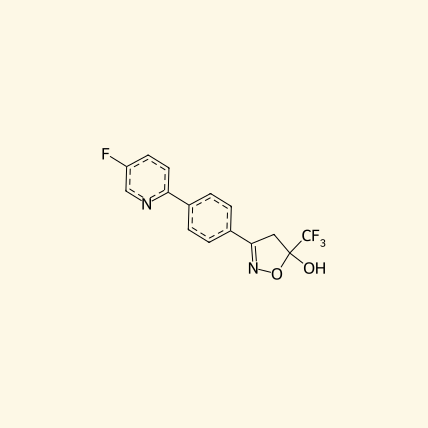 OC1(C(F)(F)F)CC(c2ccc(-c3ccc(F)cn3)cc2)=NO1